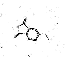 CC(C)Cc1ccc2c(c1)C(=O)NC2=O